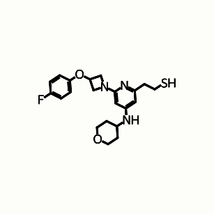 Fc1ccc(OC2CN(c3cc(NC4CCOCC4)cc(CCS)n3)C2)cc1